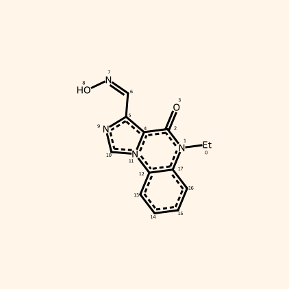 CCn1c(=O)c2c(/C=N\O)ncn2c2ccccc21